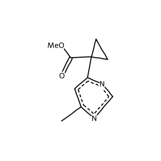 COC(=O)C1(c2cc(C)ncn2)CC1